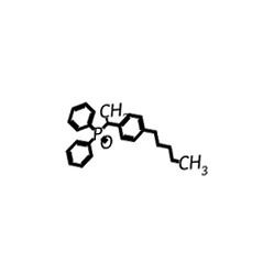 CCCCCc1ccc([C@H](C)P(=O)(c2ccccc2)c2ccccc2)cc1